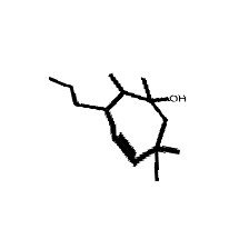 CCCC1C=CC(C)(C)CC(C)(O)C1C